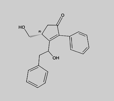 O=C1C[C@@H](CO)C(C(O)Cc2ccccc2)=C1c1ccccc1